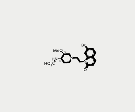 CO[C@H]1CN(CCn2c(=O)ccc3ccc(Br)cc32)CC[C@@H]1NC(=O)O